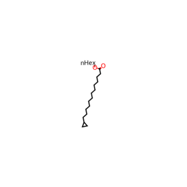 CCCCCCOC(=O)CCCCCCCCCCCCC1CC1